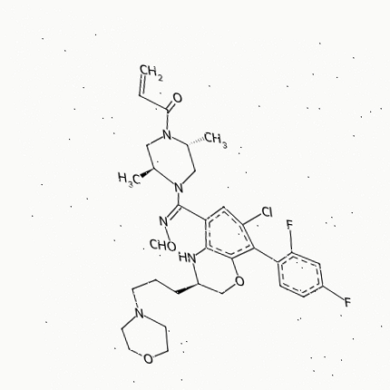 C=CC(=O)N1C[C@H](C)N(/C(=N/C=O)c2cc(Cl)c(-c3ccc(F)cc3F)c3c2N[C@H](CCCN2CCOCC2)CO3)C[C@H]1C